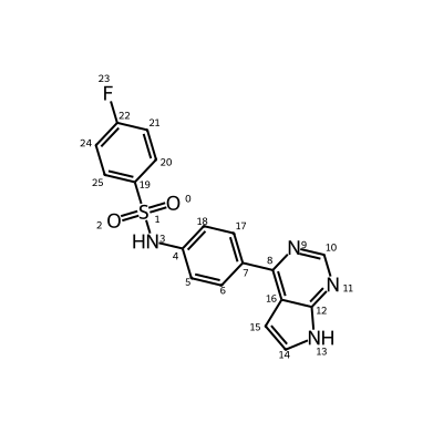 O=S(=O)(Nc1ccc(-c2ncnc3[nH]ccc23)cc1)c1ccc(F)cc1